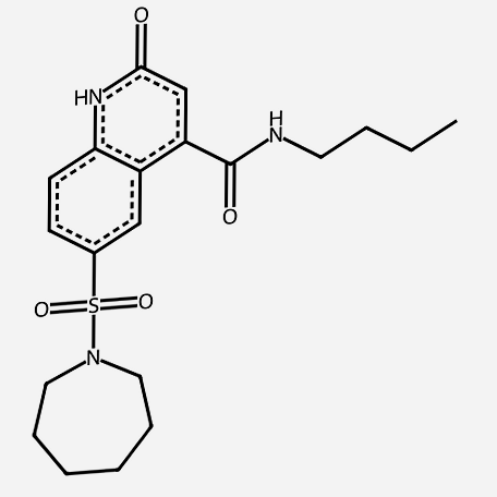 CCCCNC(=O)c1cc(=O)[nH]c2ccc(S(=O)(=O)N3CCCCCC3)cc12